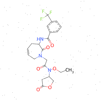 CCON(C(=O)CN1CC=CCC(NC(=O)c2cccc(C(F)(F)F)c2)C1=O)C1COC(=O)C1